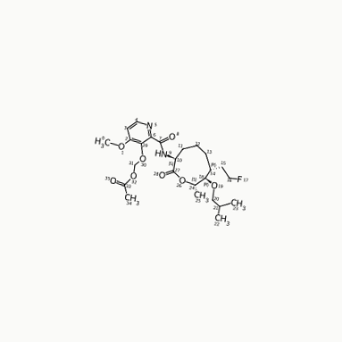 COc1ccnc(C(=O)N[C@H]2CCC[C@H](CCF)[C@@H](OCC(C)C)[C@H](C)OC2=O)c1OCOC(C)=O